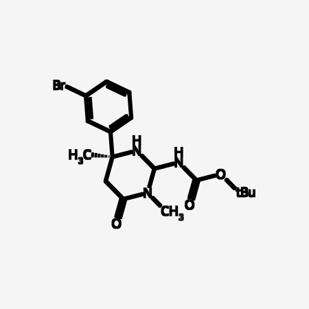 CN1C(=O)C[C@@](C)(c2cccc(Br)c2)NC1NC(=O)OC(C)(C)C